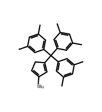 Cc1cc(C)cc(C(C2=CC(C(C)(C)C)=CC2)(c2cc(C)cc(C)c2)c2cc(C)cc(C)c2)c1